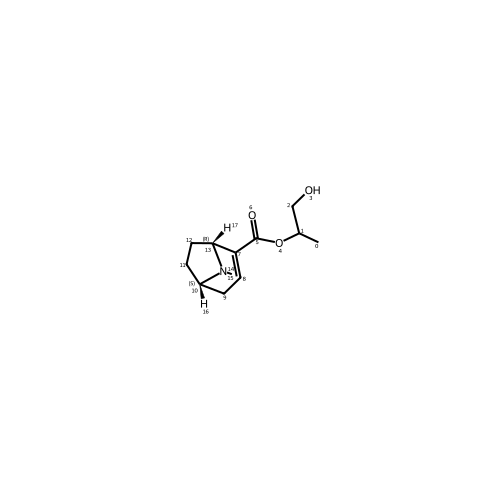 CC(CO)OC(=O)C1=CC[C@@H]2CC[C@H]1N2C